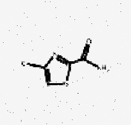 NC(=O)c1nc(Cl)cs1